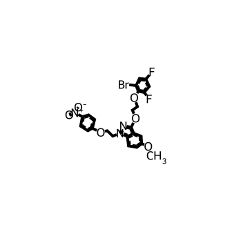 COc1ccc2c(c1)c(OCCOc1c(F)cc(F)cc1Br)nn2CCOc1ccc([N+](=O)[O-])cc1